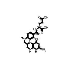 CN(CC1CNC2=C(N1)C(O)N=C(N)N2)c1ccc(C(=O)N[C@@H](CCC(=O)O)C(=O)O)cc1